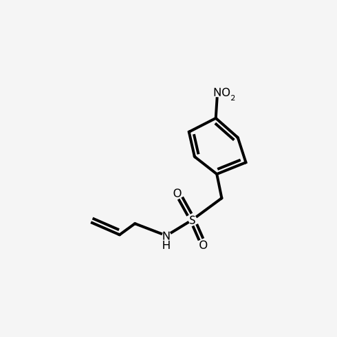 C=CCNS(=O)(=O)Cc1ccc([N+](=O)[O-])cc1